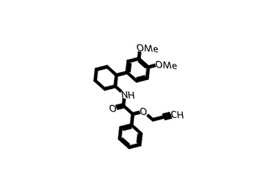 C#CCOC(C(=O)NC1CCCCC1c1ccc(OC)c(OC)c1)c1ccccc1